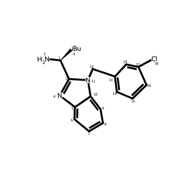 CCC(C)[C@H](N)c1nc2ccccc2n1Cc1cccc(Cl)c1